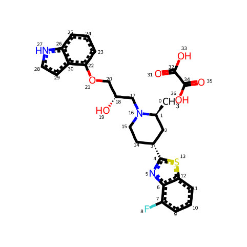 C[C@H]1C[C@H](c2nc3c(F)cccc3s2)CCN1C[C@H](O)COc1cccc2[nH]ccc12.O=C(O)C(=O)O